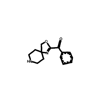 O=C(C1=NC2(CCNCC2)CO1)c1ccccc1